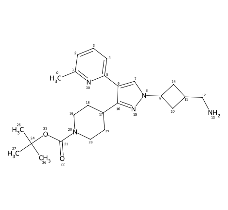 Cc1cccc(-c2cn(C3CC(CN)C3)nc2C2CCN(C(=O)OC(C)(C)C)CC2)n1